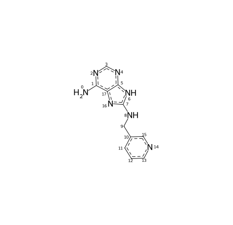 Nc1ncnc2[nH]c(NCc3cccnc3)nc12